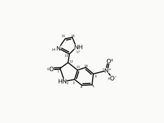 O=C1Nc2ccc([N+](=O)[O-])cc2C1c1ncc[nH]1